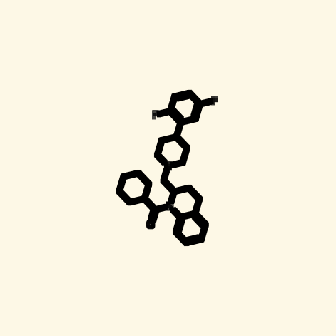 O=C(C1CCCCC1)N1c2ccccc2CCC1CN1CCC(c2cc(F)ccc2F)CC1